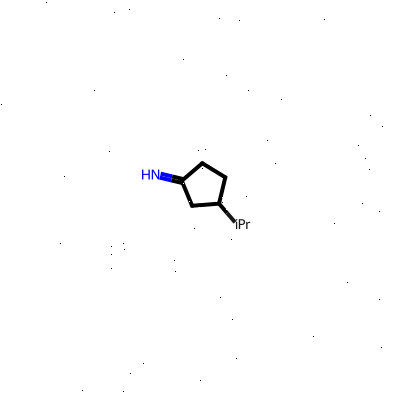 CC(C)C1CCC(=N)C1